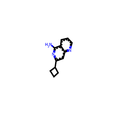 Nc1nc(C2CCC2)cc2ncccc12